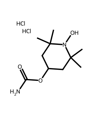 CC1(C)CC(OC(N)=O)CC(C)(C)N1O.Cl.Cl